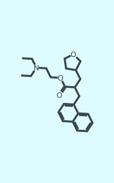 CCN(CC)CCOC(=O)C(Cc1cccc2ccccc12)CC1CCOC1